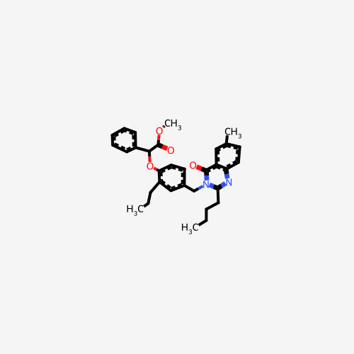 CCCCc1nc2ccc(C)cc2c(=O)n1Cc1ccc(OC(C(=O)OC)c2ccccc2)c(CCC)c1